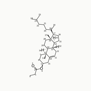 CCC(=O)O[C@H]1CC[C@@]2(C)C(=CC[C@H]3[C@@H]4CC[C@H](C(C)CCCC(C)C)[C@@]4(C)CC[C@@H]32)C1